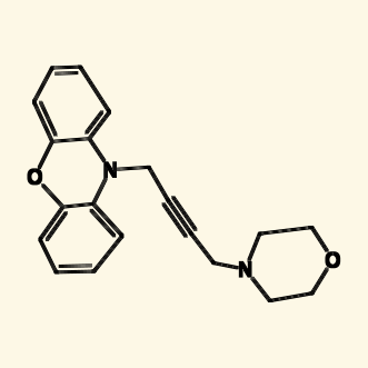 C(#CCN1c2ccccc2Oc2ccccc21)CN1CCOCC1